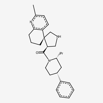 Cc1ccc2c(n1)CCC[C@]21CNC[C@H]1C(=O)N1CC[C@@H](c2ccccc2)C[C@H]1C(C)C